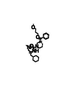 CNC[C@H](CC1CCCCC1)NC(=O)N1CCC[C@@H]([C@@H](OCCCOC)c2ccccc2)C1